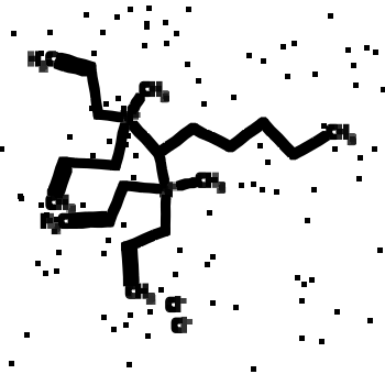 C=CC[N+](C)(CC=C)C(CCCCC)[N+](C)(CC=C)CC=C.[Cl-].[Cl-]